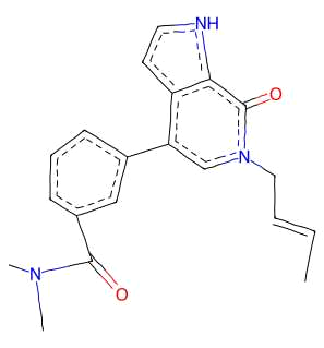 CC=CCn1cc(-c2cccc(C(=O)N(C)C)c2)c2cc[nH]c2c1=O